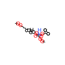 CC(C)(C)OCOCCCCC1CCC2C3CCC4CC(OC(=O)[C@H](CCOCOC(C)(C)C)NC(=O)OCC5c6ccccc6-c6ccccc65)CCC4(C)[C@H]3CCC12C